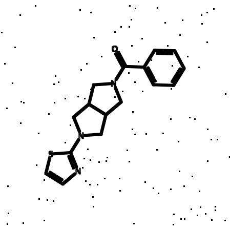 O=C(c1ccccc1)N1CC2CN(c3nccs3)CC2C1